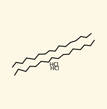 CCCCCCCCCCCCCCCC.CCCCCCCCCCCCCCCC.Cl.Cl